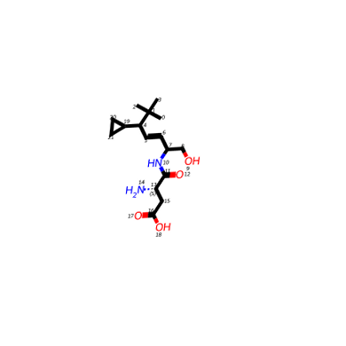 CC(C)(C)C(C=CC(CO)NC(=O)[C@@H](N)CC(=O)O)C1CC1